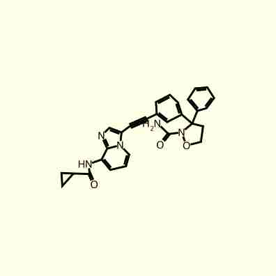 NC(=O)N1OCCC1(c1ccccc1)c1cccc(C#Cc2cnc3c(NC(=O)C4CC4)cccn23)c1